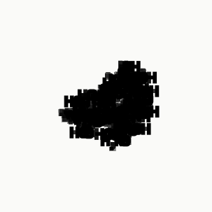 CC(C)C[C@H](NC(=O)[C@H](CC(N)=O)NC(=O)[C@H](CC(=O)O)NC(=O)[C@H](Cc1ccccc1)NC(=O)[C@@H](NC(=O)[C@H](CS)NC(=O)[C@H](CO)NC(=O)[C@H](CO)NC(=O)[C@H](CCC(N)=O)NC(=O)[C@H](CC(=O)O)NC(=O)[C@H](C)NC(=O)[C@H](Cc1c[nH]cn1)NC(=O)[C@@H](NC(=O)[C@@H](NC(=O)[C@H](CCC(=O)O)NC(=O)[C@H](CCC(=O)O)NC(=O)[C@@H](N)CC(C)C)C(C)C)C(C)C)[C@@H](C)O)C(=O)N[C@@H](CO)C(=O)N1CCC[C@H]1C(=O)NCC(=O)O